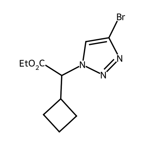 CCOC(=O)C(C1CCC1)n1cc(Br)nn1